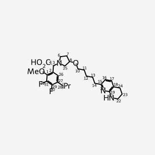 COc1c([C@H](C(=O)O)N2CC[C@@H](OCCCCCc3ccc4c(n3)NCCC4)C2)cc(C(C)C)c(F)c1F